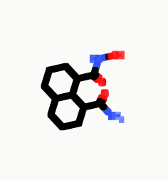 NC(=O)C1CCCC2CCCC(C(=O)NO)C21